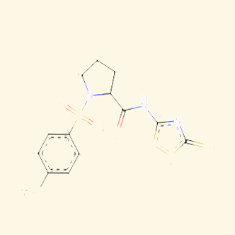 COc1ccc(S(=O)(=O)N2CCCC2C(=O)Nc2nc(=S)ss2)cc1